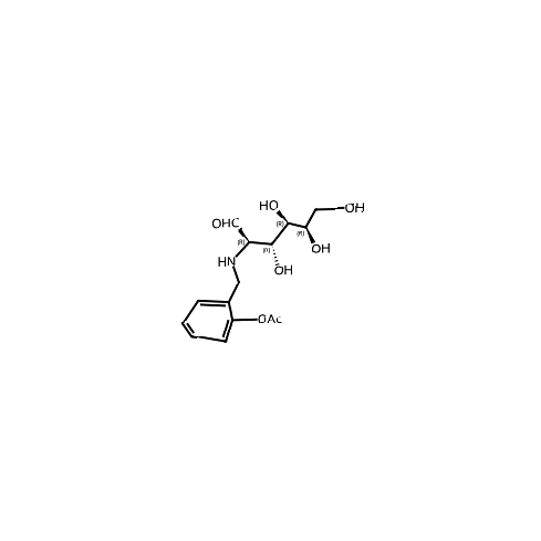 CC(=O)Oc1ccccc1CN[C@@H](C=O)[C@@H](O)[C@@H](O)[C@H](O)CO